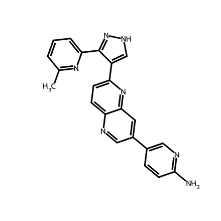 Cc1cccc(-c2n[nH]cc2-c2ccc3ncc(-c4ccc(N)nc4)cc3n2)n1